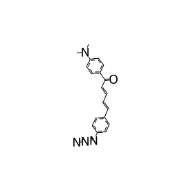 CN(C)c1ccc(C(=O)C=CC=Cc2ccc(N=[N+]=[N-])cc2)cc1